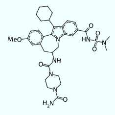 COc1ccc2c(c1)CC(NC(=O)N1CCN(C(N)=O)CC1)Cn1c-2c(C2CCCCC2)c2ccc(C(=O)NS(=O)(=O)N(C)C)cc21